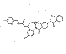 COc1cc(NC(=O)c2ccccc2Cl)ccc1C(=O)N1CCCC(CC(=O)NCc2cnc(C)cn2)c2cc(Cl)ccc21